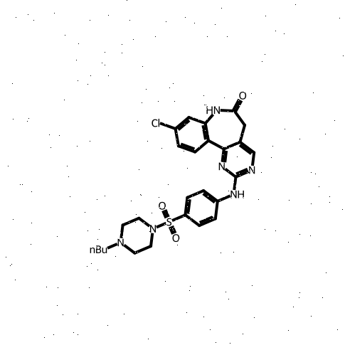 CCCCN1CCN(S(=O)(=O)c2ccc(Nc3ncc4c(n3)-c3ccc(Cl)cc3NC(=O)C4)cc2)CC1